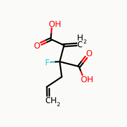 C=CCC(F)(C(=C)C(=O)O)C(=O)O